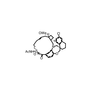 CO[C@H]1/C=C/CCCS(=O)(NC(C)=O)=NC(=O)c2ccc3c(c2)N(C[C@@H]2CC[C@H]21)C[C@@]1(CCCc2cc(Cl)ccc21)CO3